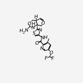 Cc1cc(OC(F)F)cnc1C(=O)Nc1csc([C@]23COC=C[C@H]2COC(N)N3)n1